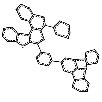 c1ccc(-c2nc3ccccc3c3c2cc(-c2cccc(-c4cc5c6ccccc6n6c7ccccc7c(c4)c56)c2)c2oc4ccccc4c23)cc1